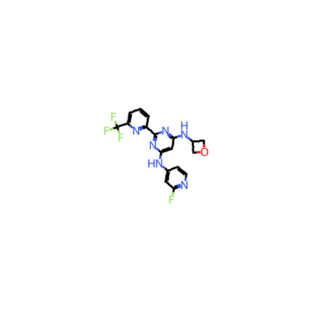 Fc1cc(Nc2cc(NC3COC3)nc(-c3cccc(C(F)(F)F)n3)n2)ccn1